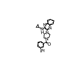 CC(C)c1cccc(C(=O)N2CCN(c3nc4ccccc4nc3NC3CC3)CC2)c1